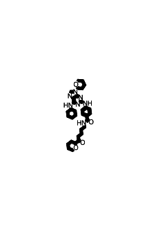 O=C(NCCCCC(=O)C1CCCCO1)c1ccc(Nc2nc(NC3CCCCC3)c3ncn(C4CCCCO4)c3n2)cc1